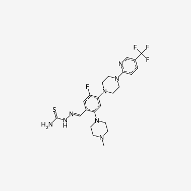 CN1CCN(c2cc(N3CCN(c4ccc(C(F)(F)F)cn4)CC3)c(F)cc2C=NNC(N)=S)CC1